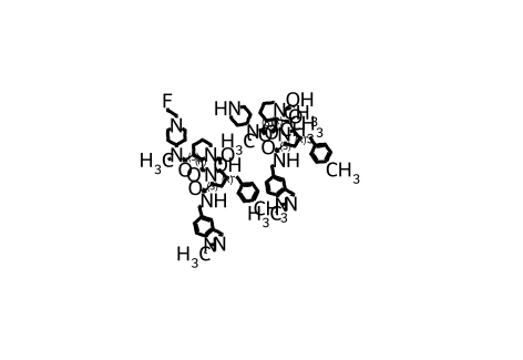 Cc1ccc(C[C@@H]2C[C@@H](C(=O)NCc3ccc4c(cnn4C)c3)N(C(=O)[C@H]3[C@@H](C(=O)N(C)C4CCN(CCF)CC4)CCCN3C(=O)O)C2)cc1.Cc1ccc(C[C@@H]2C[C@@H](C(=O)NCc3ccc4c(cnn4C)c3)N(C(=O)[C@]3(C(C)(C)C)[C@@H](C(=O)N(C)C4CCNCC4)CCCN3C(=O)O)C2)cc1